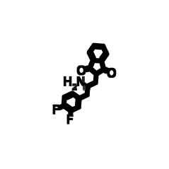 N[C@@H](Cc1ccc(F)c(F)c1)CC1C(=O)c2ccccc2C1=O